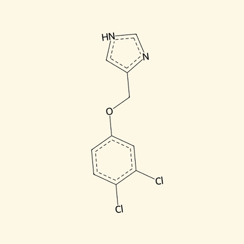 Clc1ccc(OCc2c[nH]cn2)cc1Cl